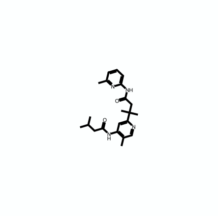 Cc1cccc(NC(=O)CC(C)(C)c2cc(NC(=O)CC(C)C)c(C)cn2)n1